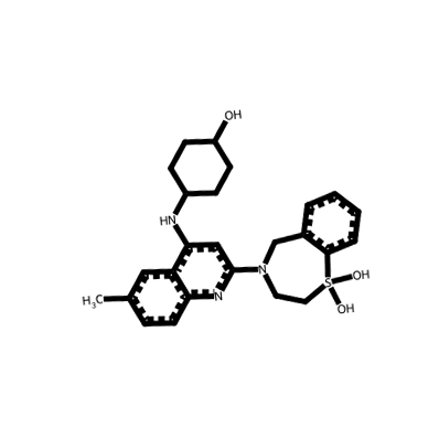 Cc1ccc2nc(N3CCS(O)(O)c4ccccc4C3)cc(NC3CCC(O)CC3)c2c1